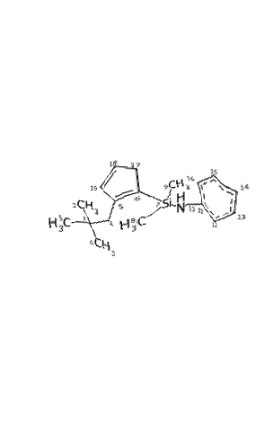 CC(C)(C)CC1=C([Si](C)(C)Nc2ccccc2)CC=C1